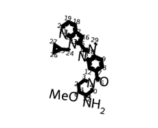 CO[C@H]1CCN(C(=O)c2ccc3c(c2)nc(-c2cc4cccnc4n2CC2CC2)n3C)C[C@H]1N